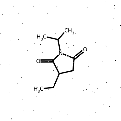 CCC1CC(=O)N(C(C)C)C1=O